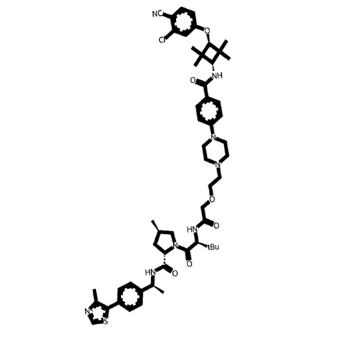 Cc1ncsc1-c1ccc([C@H](C)NC(=O)[C@@H]2C[C@@H](C)CN2C(=O)[C@@H](NC(=O)COCCN2CCN(c3ccc(C(=O)N[C@H]4C(C)(C)[C@H](Oc5ccc(C#N)c(Cl)c5)C4(C)C)cc3)CC2)C(C)(C)C)cc1